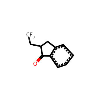 O=C1c2ccccc2CC1CC(F)(F)F